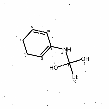 CCC(O)(O)NC1=C[CH]CC=C1